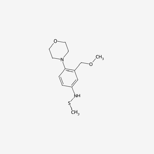 COCc1cc(NSC)ccc1N1CCOCC1